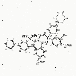 CCCC1(CCC)c2cc(-c3ccccc3)ccc2-c2c1c1c(c3ccc(OC)cc23)OC(c2ccc(N3CCOCC3)cc2)(c2ccc(OC)c(F)c2)C=C1